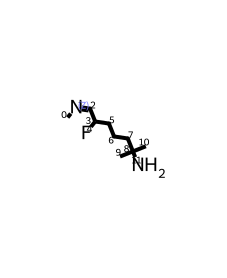 C/N=C\C(F)CCCC(C)(C)N